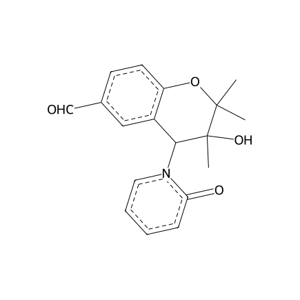 CC1(C)Oc2ccc(C=O)cc2C(n2ccccc2=O)C1(C)O